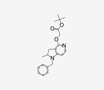 CC1Cc2c(ccnc2OCC(=O)OC(C)(C)C)N1Cc1ccccc1